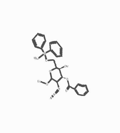 CCOC1OC(CO[Si](c2ccccc2)(c2ccccc2)C(C)(C)C)[C@@H](O)[C@H](OC(=O)c2ccccc2)C1N=[N+]=[N-]